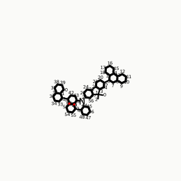 CC1(C)c2cc(-c3cc4ccccc4c4ccccc34)ccc2-c2ccc(N(c3ccc(-c4cccc5ccccc45)cc3)c3ccccc3-c3ccccc3)cc21